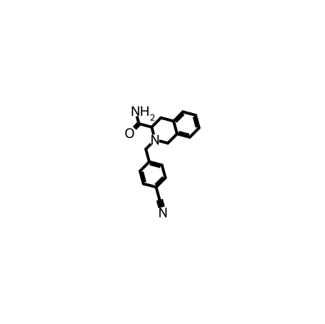 N#Cc1ccc(CN2Cc3ccccc3CC2C(N)=O)cc1